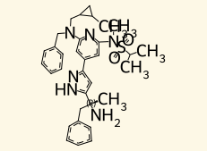 CC1CC1CN(Cc1ccccc1)c1cc(-c2cc([C@](C)(N)Cc3ccccc3)[nH]n2)cc(N(C)S(=O)(=O)C(C)C)n1